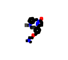 CCN(C(=O)O)c1cccc(Cn2nc(-c3ccc(COCCN(C)C)cc3)ccc2=O)c1